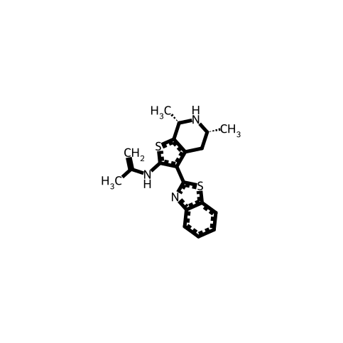 C=C(C)Nc1sc2c(c1-c1nc3ccccc3s1)C[C@@H](C)N[C@H]2C